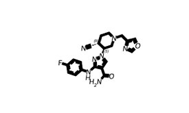 N#C[C@@H]1CCN(Cc2cocn2)C[C@H]1n1cc(C(N)=O)c(Nc2ccc(F)cc2)n1